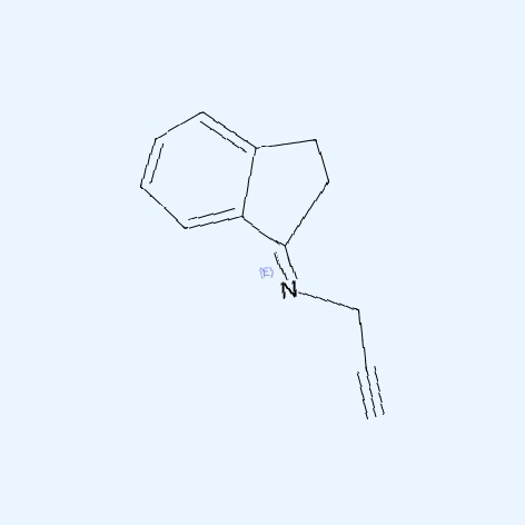 C#CC/N=C1\CCc2ccccc21